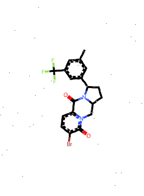 Cc1cc(C2CCC3Cn4c(ccc(Br)c4=O)C(=O)N32)cc(C(F)(F)F)c1